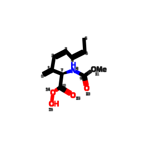 C=C(/C=C\C=C/C)[C@@H](NC(=O)OC)C(=O)OO